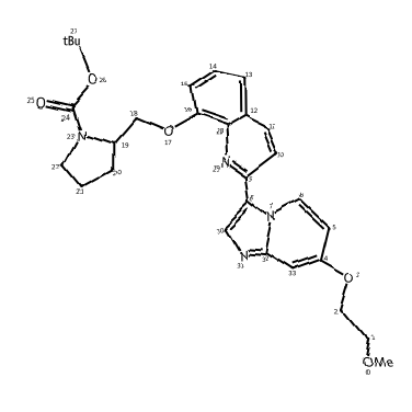 COCCOc1ccn2c(-c3ccc4cccc(OCC5CCCN5C(=O)OC(C)(C)C)c4n3)cnc2c1